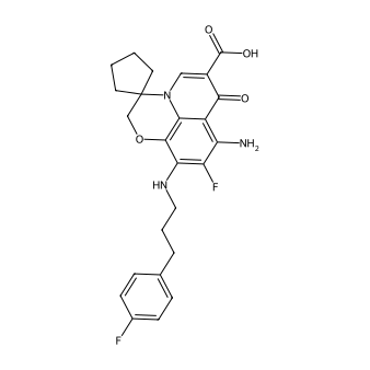 Nc1c(F)c(NCCCc2ccc(F)cc2)c2c3c1c(=O)c(C(=O)O)cn3C1(CCCC1)CO2